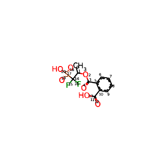 CC(OC(=O)c1ccccc1C(=O)O)C(F)(F)S(=O)(=O)O